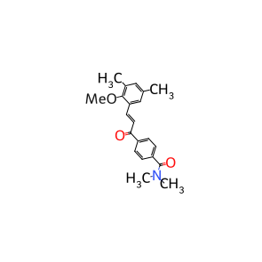 COc1c(C)cc(C)cc1C=CC(=O)c1ccc(C(=O)N(C)C)cc1